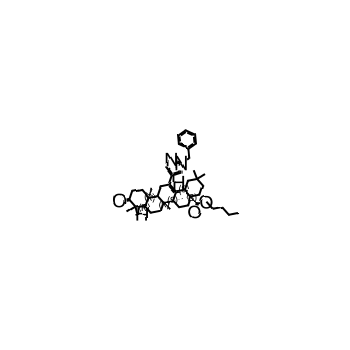 CCCCOC(=O)[C@]12CCC(C)(C)C[C@H]1C1=C(c3cnn(Cc4ccccc4)c3)CC3[C@@]4(C)CCC(=O)C(C)(C)[C@@H]4CC[C@@]3(C)[C@]1(C)CC2